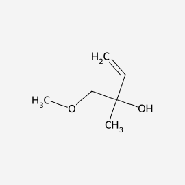 C=CC(C)(O)COC